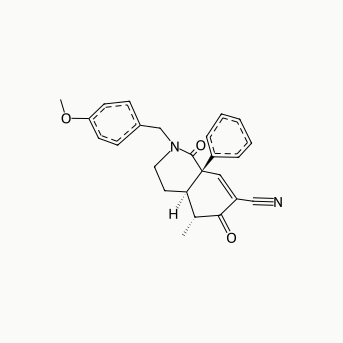 COc1ccc(CN2CC[C@@H]3[C@@H](C)C(=O)C(C#N)=C[C@@]3(c3ccccc3)C2=O)cc1